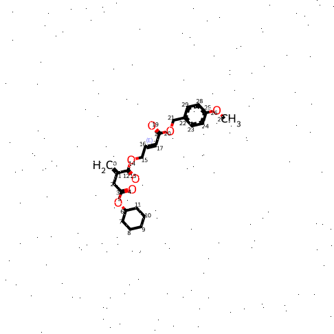 C=C(CC(=O)OC1CCCCC1)C(=O)OC/C=C/C(=O)OCc1ccc(OC)cc1